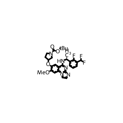 COc1cc2c(cc1OC1CCN(C(=O)OC(C)(C)C)C1)c(N[C@H](C)c1cccc(C(F)F)c1F)nc1nccn12